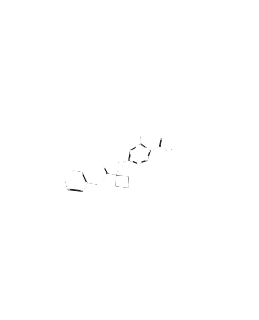 CNC(=O)c1ccc(NC2(C(=O)OC3=CCCC=C3)CCC2)cc1F